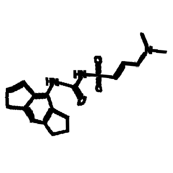 CN(C)C/C=C/S(=O)(=O)NC(=O)Nc1c2c(cc3c1CCC3)CC=C2